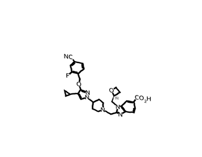 N#Cc1ccc(COc2nn(C3CCN(Cc4nc5ccc(C(=O)O)cc5n4C[C@@H]4CCO4)CC3)cc2C2CC2)c(F)c1